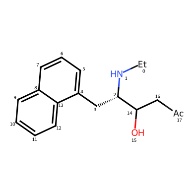 CCN[C@@H](Cc1cccc2ccccc12)C(O)CC(C)=O